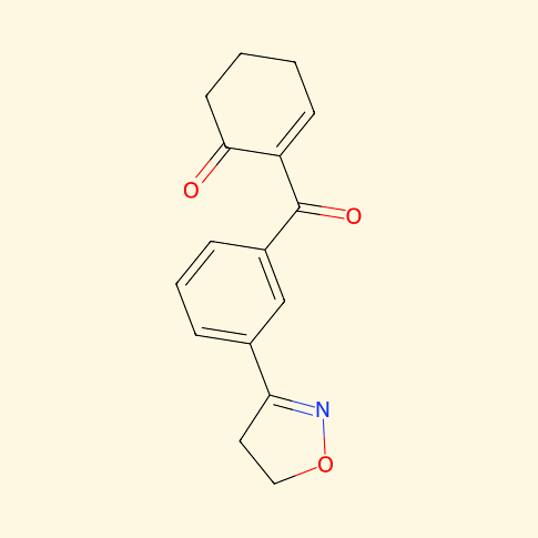 O=C1CCCC=C1C(=O)c1cccc(C2=NOCC2)c1